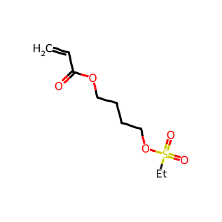 C=CC(=O)OCCCCOS(=O)(=O)CC